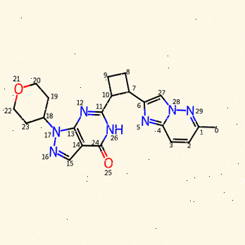 Cc1ccc2nc(C3CCC3c3nc4c(cnn4C4CCOCC4)c(=O)[nH]3)cn2n1